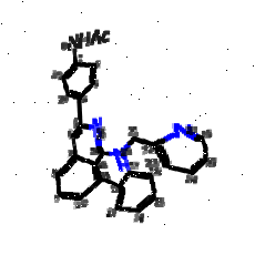 CC(=O)Nc1ccc(-c2cc3cccc(-c4ccccc4)c3c(NCc3ccccn3)n2)cc1